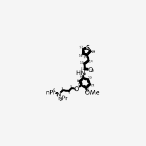 CCCN(CCC)CCCOc1cc(NC(=O)C=Cc2ccsc2)ccc1OC